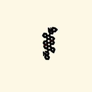 c1ccc(-c2c3ccccc3c(-c3cnc4ccccc4c3)c3ccccc23)c(-c2ccccc2-c2c3ccccc3c(-c3cnc4ccccc4c3)c3ccccc23)c1